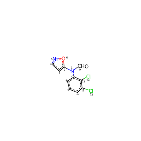 O=CN(c1ccno1)c1cccc(Cl)c1Cl